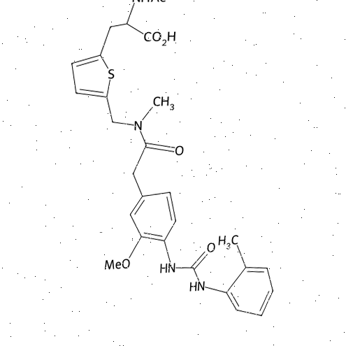 COc1cc(CC(=O)N(C)Cc2ccc(CC(NC(C)=O)C(=O)O)s2)ccc1NC(=O)Nc1ccccc1C